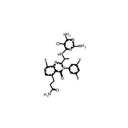 CC(Nc1nc(N)nc(N)c1Cl)c1nc2c(F)ccc(CCC(N)=O)c2c(=O)n1-c1cc(F)cc(F)c1